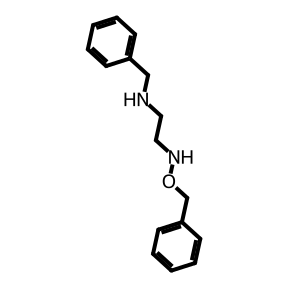 c1ccc(CNCCNOCc2ccccc2)cc1